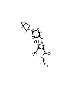 CCOC(=O)c1cn(Cc2ccc(N3CC4CC4C3)nc2C)nc1C#N